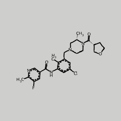 Cc1ncc(C(=O)Nc2cc(Cl)cc(CN3CCN(C(=O)[C@@H]4CCOC4)[C@@H](C)C3)c2C)cc1F